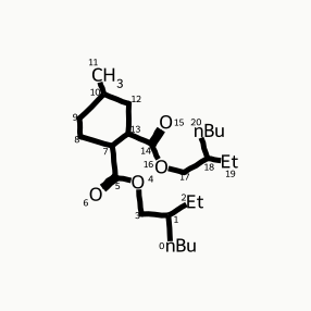 CCCCC(CC)COC(=O)C1CCC(C)CC1C(=O)OCC(CC)CCCC